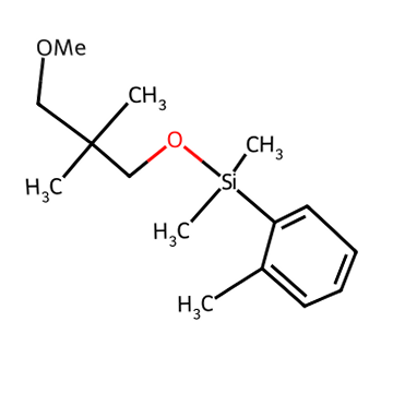 COCC(C)(C)CO[Si](C)(C)c1ccccc1C